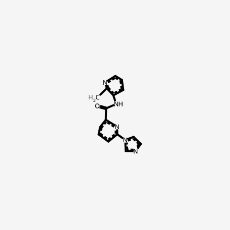 Cc1ncccc1NC(=O)c1cccc(-n2ccnc2)n1